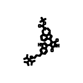 CC(C)[Si](OCCCc1ccc2c(C3=C(c4cn5c6c(cccc46)CN(C(=O)OC(C)(C)C)CC5)C(=O)NC3=O)c[nH]c2c1)(C(C)C)C(C)C